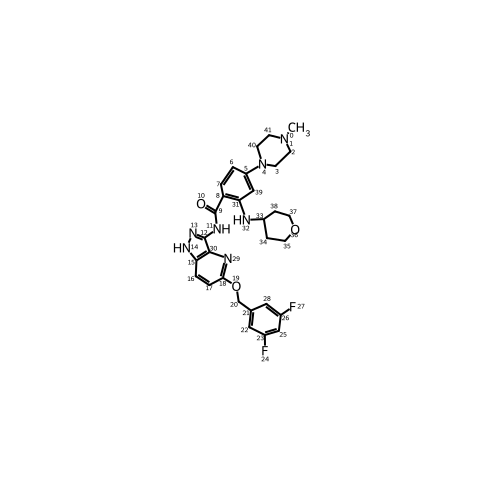 CN1CCN(c2ccc(C(=O)Nc3n[nH]c4ccc(OCc5cc(F)cc(F)c5)nc34)c(NC3CCOCC3)c2)CC1